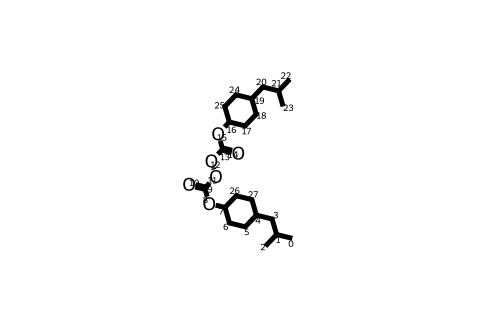 CC(C)CC1CCC(OC(=O)OOC(=O)OC2CCC(CC(C)C)CC2)CC1